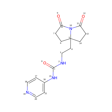 O=C(NCCC12CCC(=O)N1C(=O)CC2)Nc1ccncc1